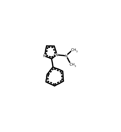 CN(C)n1ccnc1-c1ccccc1